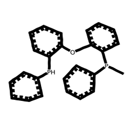 CP(c1ccccc1)c1ccccc1Oc1ccccc1Pc1ccccc1